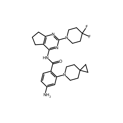 Nc1ccc(C(=O)Nc2nc(N3CCC(F)(F)CC3)nc3c2CCC3)c(N2CCC3(CC2)CC3)c1